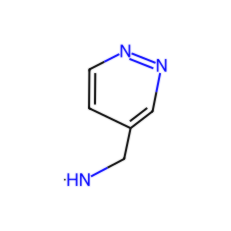 [NH]Cc1ccnnc1